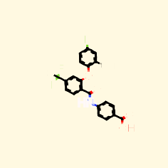 Cc1cc(F)ccc1Oc1cc(C(C)(F)F)ccc1C(=O)Nc1ccc(C(=O)O)cc1